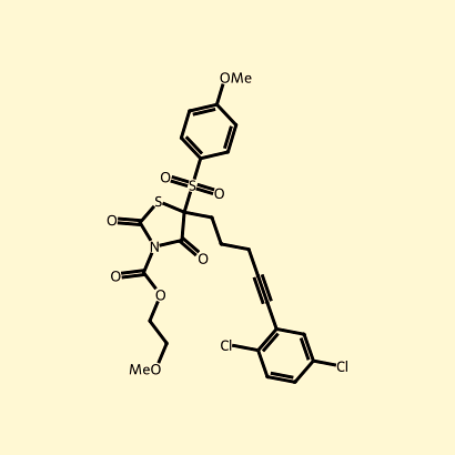 COCCOC(=O)N1C(=O)SC(CCCC#Cc2cc(Cl)ccc2Cl)(S(=O)(=O)c2ccc(OC)cc2)C1=O